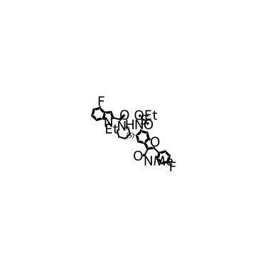 CCn1c(C(=O)N2CCC[C@@H](c3cc4c(C(=O)NC)c(-c5ccc(F)cc5)oc4cc3NS(=O)(=O)CC)C2)cc2c(F)cccc21